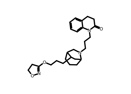 O=C1CCc2ccccc2N1CCCN1CC2CCCC1CC2CCCOC1=NOCC1